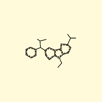 CCn1c2ccc(C(C)C)cc2c2cc(C(c3ccccc3)C(C)C)ccc21